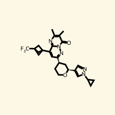 Cc1nc2c(C34CC(C(F)(F)F)(C3)C4)cc([C@@H]3CCO[C@H](c4cnn(C5CC5)c4)C3)nn2c(=O)c1C